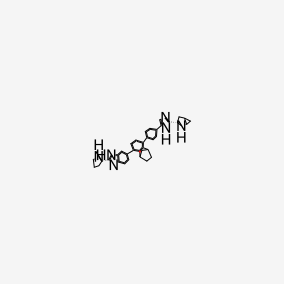 c1cc(-c2ccc(-c3ccc4nc([C@@H]5CCCN5)[nH]c4c3)c3c2C2CCC3C2)ccc1-c1cnc([C@@H]2CC3CC3N2)[nH]1